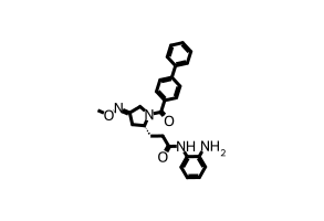 CO/N=C1\C[C@@H](CCC(=O)Nc2ccccc2N)N(C(=O)c2ccc(-c3ccccc3)cc2)C1